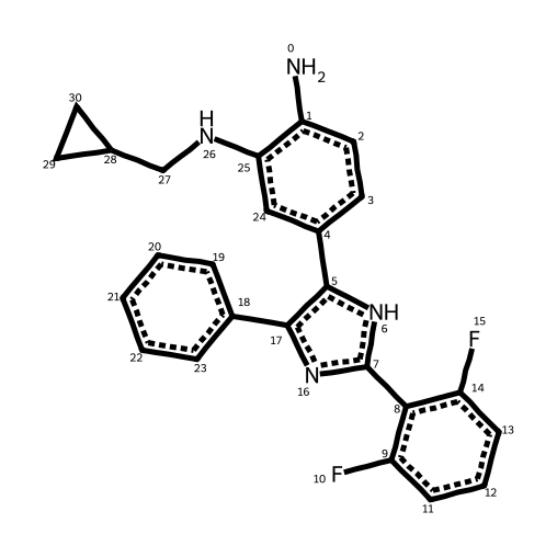 Nc1ccc(-c2[nH]c(-c3c(F)cccc3F)nc2-c2ccccc2)cc1NCC1CC1